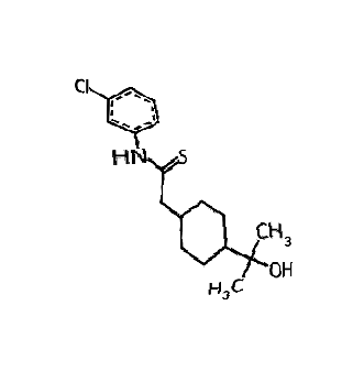 CC(C)(O)C1CCC(CC(=S)Nc2cccc(Cl)c2)CC1